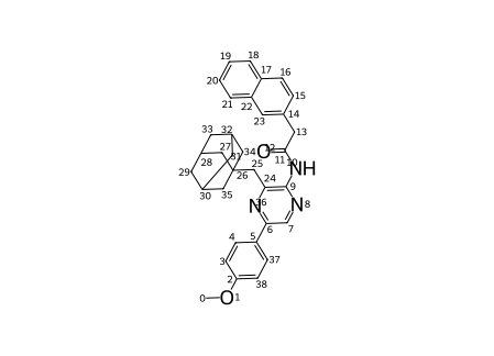 COc1ccc(-c2cnc(NC(=O)Cc3ccc4ccccc4c3)c(CC34CC5CC(CC(C5)C3)C4)n2)cc1